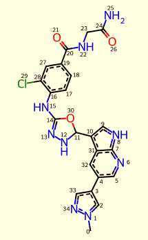 Cn1cc(-c2cnc3[nH]cc(C4NN=C(Nc5ccc(C(=O)NCC(N)=O)cc5Cl)O4)c3c2)cn1